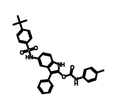 Cc1ccc(NC(=O)Oc2[nH]c3ccc(NS(=O)(=O)c4ccc(C(C)(C)C)cc4)cc3c2-c2ccccc2)cc1